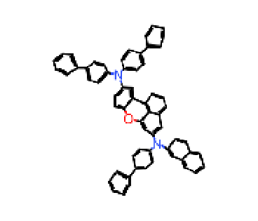 c1ccc(-c2ccc(N(c3ccc(-c4ccccc4)cc3)c3ccc4c(c3)-c3cccc5cc(N(c6ccc(-c7ccccc7)cc6)c6ccc7ccccc7c6)cc(c35)O4)cc2)cc1